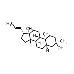 C/C=C/[C@H]1CC[C@H]2[C@@H]3CC[C@H]4C[C@](C)(O)CC[C@]4(C)[C@H]3CC[C@]12C